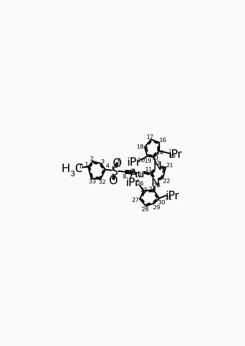 Cc1ccc(S(=O)(=O)C#[C][Au]=[c]2n(-c3c(C(C)C)cccc3C(C)C)ccn2-c2c(C(C)C)cccc2C(C)C)cc1